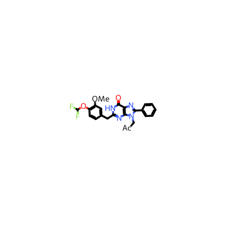 COc1cc(Cc2nc3c(nc(-c4ccccc4)n3CC(C)=O)c(=O)[nH]2)ccc1OC(F)F